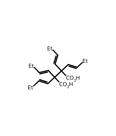 CCC=CC(C=CCC)(C(=O)O)C(C=CCC)(C=CCC)C(=O)O